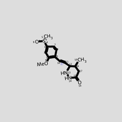 COc1cc([S+](C)[O-])ccc1/C=C/C1NNC(=O)CC1C